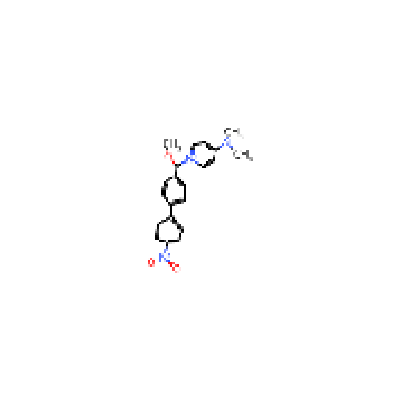 COC(c1ccc(-c2ccc([N+](=O)[O-])cc2)cc1)[n+]1ccc(N(C)C)cc1